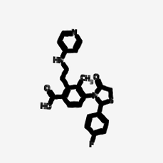 Cc1c(N2C(=O)CSC2c2ccc(F)cc2)ccc(C(=O)O)c1CCNc1ccncc1